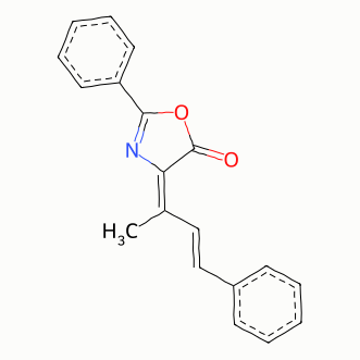 CC(/C=C/c1ccccc1)=C1\N=C(c2ccccc2)OC1=O